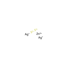 [Ag+].[Ag+].[S-2].[S-2].[Zn+2]